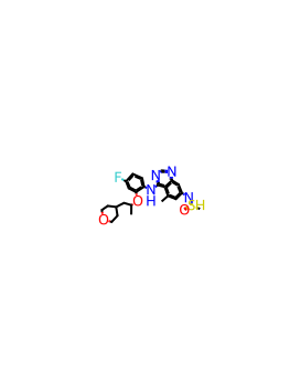 Cc1cc(/N=[SH](/C)=O)cc2ncnc(Nc3ccc(F)cc3OC(C)CC3CCOCC3)c12